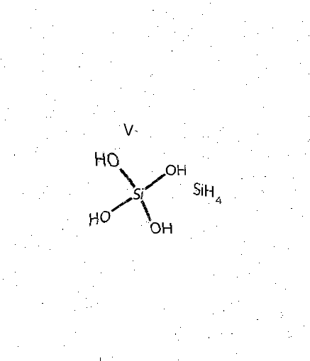 O[Si](O)(O)O.[SiH4].[V]